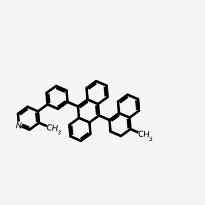 CC1=c2ccccc2=C(C2=c3ccccc3=C(c3cccc(-c4ccncc4C)c3)C3C=CC=CC23)CC1